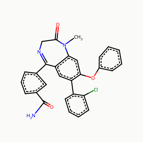 CN1C(=O)CN=C(c2cccc(C(N)=O)c2)c2cc(-c3ccccc3Cl)c(Oc3ccccc3)cc21